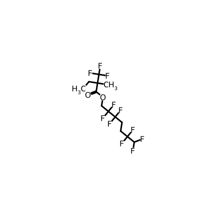 CCC(C)(C(=O)OCC(F)(F)C(F)(F)CCC(F)(F)C(F)F)C(F)(F)F